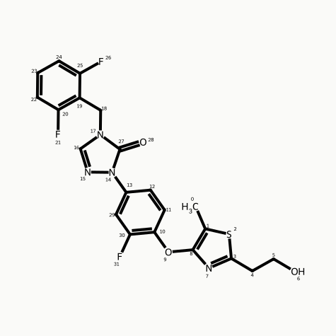 Cc1sc(CCO)nc1Oc1ccc(-n2ncn(Cc3c(F)cccc3F)c2=O)cc1F